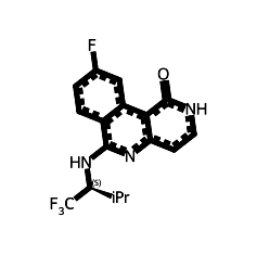 CC(C)[C@H](Nc1nc2cc[nH]c(=O)c2c2cc(F)ccc12)C(F)(F)F